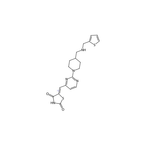 O=C1NC(=O)/C(=C/c2ccnc(N3CCC(CNCc4cccs4)CC3)n2)S1